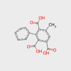 Cc1cc(C(=O)O)c(C(=O)O)c(-c2ccccc2)c1C(=O)O